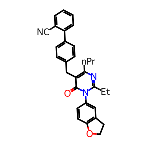 CCCc1nc(CC)n(-c2ccc3c(c2)CCO3)c(=O)c1Cc1ccc(-c2ccccc2C#N)cc1